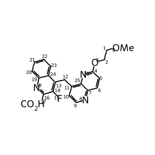 COCCOc1ccc2nccc(Cc3c(F)c(C(=O)O)nc4ccccc34)c2n1